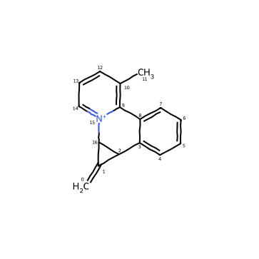 C=C1C2c3ccccc3-c3c(C)ccc[n+]3C12